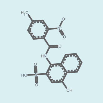 Cc1ccc(C(=O)Nc2c(S(=O)(=O)O)cc(O)c3ccccc23)c([N+](=O)[O-])c1